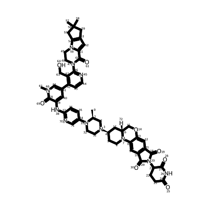 C[C@H]1CN([C@@H]2CCN3c4cc5c(cc4OC[C@H]3C2)C(=O)N(C2CCC(=O)NC2=O)C5=O)CCN1c1ccc(Nc2cc(-c3ccnc(N4CCn5c(cc6c5CC(C)(C)C6)C4=O)c3CO)cn(C)c2=O)nc1